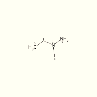 CCN(N)I